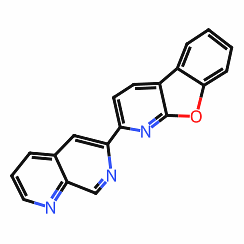 c1cnc2cnc(-c3ccc4c(n3)oc3ccccc34)cc2c1